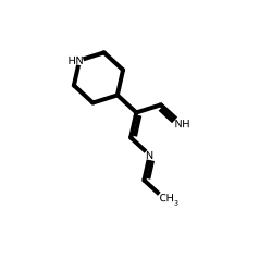 C/C=N/C=C(\C=N)C1CCNCC1